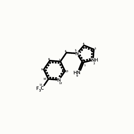 N=c1[nH]ccn1Cc1ccc(C(F)(F)F)nc1